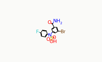 NC(=O)c1cc(Br)cc(N(c2ccc(F)cc2)S(=O)(=O)O)c1